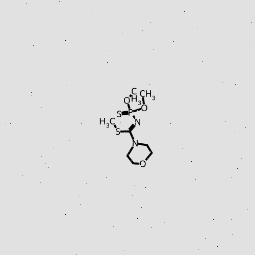 COP(=S)(N=C(SC)N1CCOCC1)OC